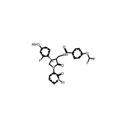 CCn1cccc(N2C[C@@H](c3ccc(OC)cc3F)C(CNC(=O)c3ccc(OC(F)F)cc3)C2=O)c1=O